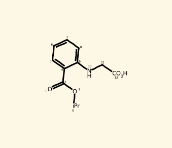 CC(C)OC(=O)c1ccccc1NCC(=O)O